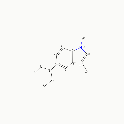 CCC(CC)c1ccc2c(c1)c(C)cn2C